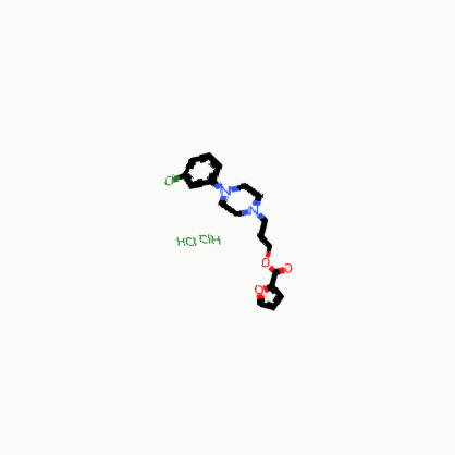 Cl.Cl.O=C(OCCCN1CCN(c2cccc(Cl)c2)CC1)c1ccco1